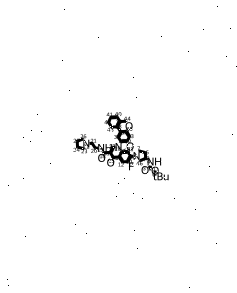 CC(C)(C)OC(=O)N[C@H]1CCN(c2c(F)cc3c(=O)c(C(=O)NCCN4CCCC4)cn4c3c2Oc2cc3c(cc2-4)C2=C(C=CCC2)CO3)C1